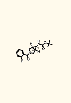 CC(C)(C)OC(=O)N[C@H]1[C@@H]2CN(C(=O)c3ccccc3F)C[C@@H]21